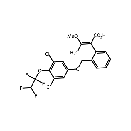 COC(C)=C(C(=O)O)c1ccccc1COc1cc(Cl)c(OC(F)(F)C(F)F)c(Cl)c1